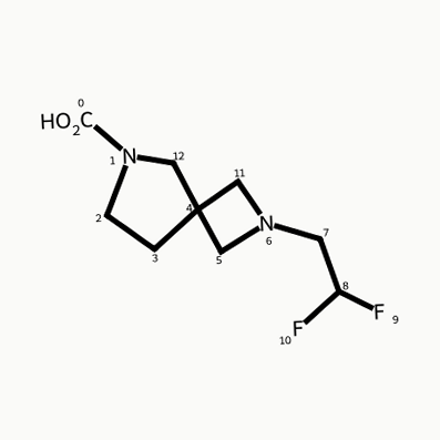 O=C(O)N1CCC2(CN(CC(F)F)C2)C1